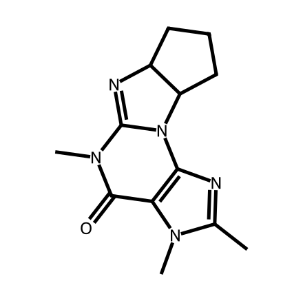 Cc1nc2c(n1C)C(=O)N(C)C1=NC3CCCC3N12